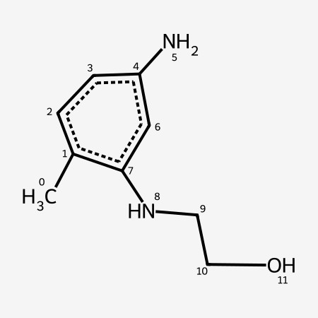 Cc1ccc(N)cc1NCCO